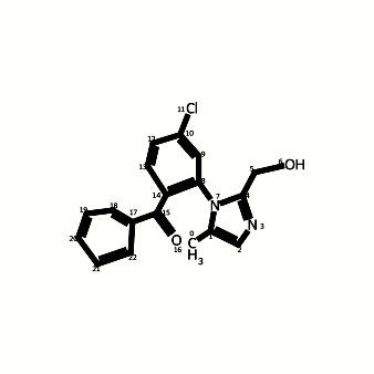 Cc1cnc(CO)n1-c1cc(Cl)ccc1C(=O)c1ccccc1